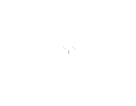 CC(O)NC(=O)NC(C1CCCCC1)C1CCCCC1